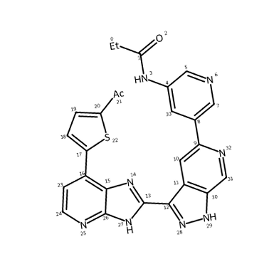 CCC(=O)Nc1cncc(-c2cc3c(-c4nc5c(-c6ccc(C(C)=O)s6)ccnc5[nH]4)n[nH]c3cn2)c1